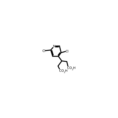 O=C(O)CC(CC(=O)O)c1cc(Cl)ncc1Cl